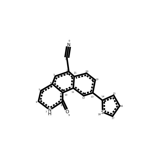 N#Cc1cc2cc[nH]c(=O)c2c2cc(-c3cccs3)ccc12